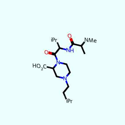 CNC(C)C(=O)NC(C(=O)N1CCN(CCC(C)C)CC1C(=O)O)C(C)C